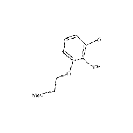 COCCOc1cccc(Cl)c1C(C)C